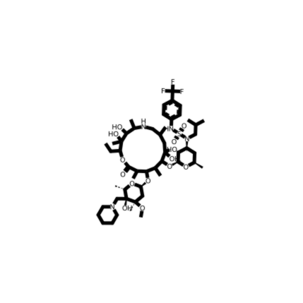 CCC1OC(=O)C(C)C(O[C@H]2C[C@@](C)(OC)[C@](O)(CN3CCCCC3)[C@H](C)O2)C(C)C(O[C@@H]2O[C@H](C)C[C@H](N(CC(C)C)S(=O)(=O)Nc3ccc(C(F)(F)F)cc3)[C@H]2O)C(C)(O)CC(C)CNC(C)C(O)C1(C)O